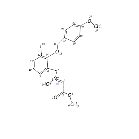 COC(=O)/C=[N+](\O)Cc1cccc(I)c1OCc1ccc(OC)cc1